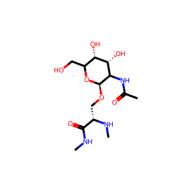 CNC(=O)[C@H](CO[C@H]1OC(CO)[C@H](O)[C@H](O)C1NC(C)=O)NC